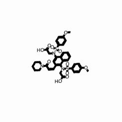 COc1ccc(S(=O)(=O)N(CC(=O)O)c2cc(/C=C\C(=O)N3CCCCC3)c(N(CC(=O)O)S(=O)(=O)c3ccc(OC)cc3)c3ccccc23)cc1